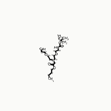 CCCCOC(=O)CN(CCOCCO)CCOCCNC(=O)OC(C)(C)C